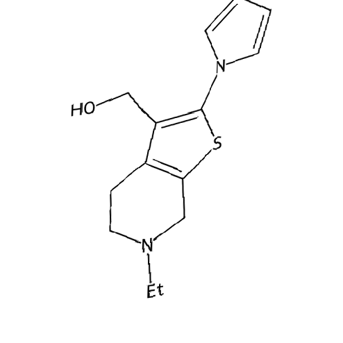 CCN1CCc2c(sc(-n3cccc3)c2CO)C1